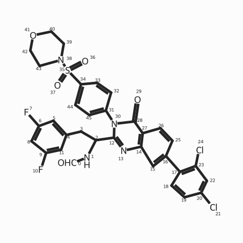 O=CNC(Cc1cc(F)cc(F)c1)c1nc2cc(-c3ccc(Cl)cc3Cl)ccc2c(=O)n1-c1ccc(S(=O)(=O)N2CCOCC2)cc1